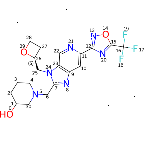 OC1CCCN(Cc2nc3cc(-c4noc(C(F)(F)F)n4)ncc3n2C[C@@H]2CCO2)C1